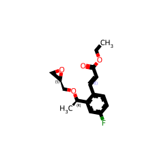 CCOC(=O)/C=C/c1ccc(F)cc1[C@@H](C)OC[C@H]1CO1